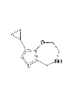 c1sc2c(c1C1CC1)OCCNC2